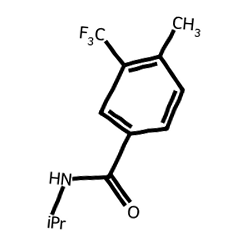 Cc1ccc(C(=O)NC(C)C)cc1C(F)(F)F